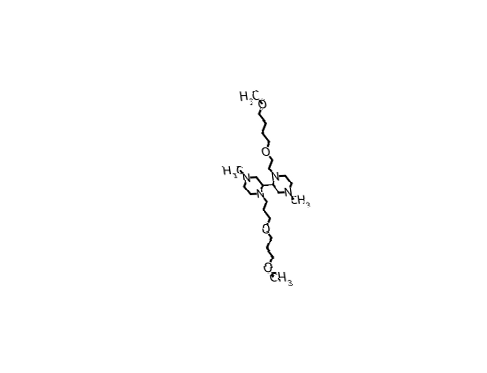 COCCCCOCCN1CCN(C)CC1C1CN(C)CCN1CCCOCCCOC